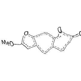 COc1cc2cc3ccc(=O)oc3cc2o1